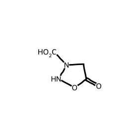 O=C1CN(C(=O)O)NO1